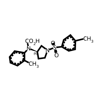 Cc1ccc(S(=O)(=O)N2CC[C@@H](N(C(=O)O)c3ccccc3C)C2)cc1